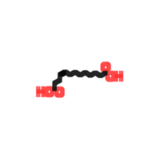 O=C(O)CC/C=C\CCCCCCCC(=O)O